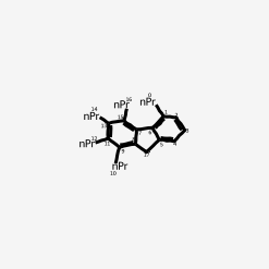 CCCc1cccc2c1-c1c(c(CCC)c(CCC)c(CCC)c1CCC)[CH]2